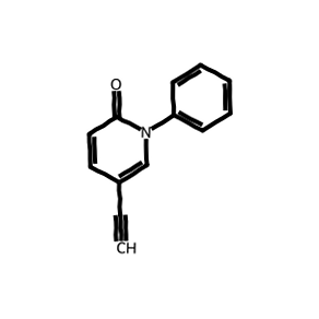 C#Cc1ccc(=O)n(-c2ccccc2)c1